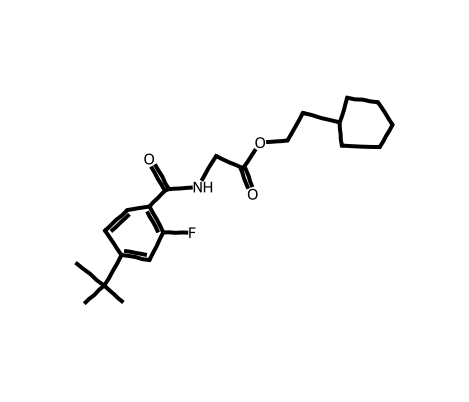 CC(C)(C)c1ccc(C(=O)NCC(=O)OCCC2CCCCC2)c(F)c1